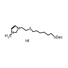 CCCCCCCCCCCCCCCCSCCN1C=CN(C)C1.I